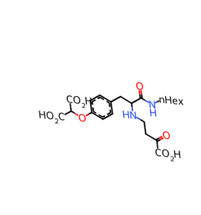 CCCCCCNC(=O)C(Cc1ccc(OC(C(=O)O)C(=O)O)cc1)NCCC(=O)C(=O)O